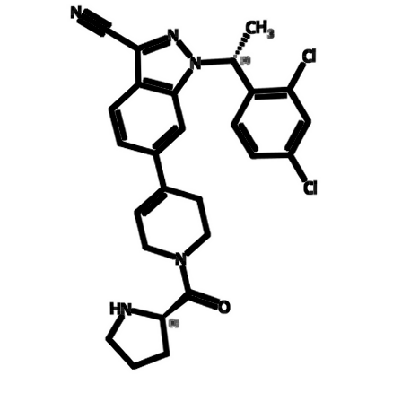 C[C@H](c1ccc(Cl)cc1Cl)n1nc(C#N)c2ccc(C3=CCN(C(=O)[C@H]4CCCN4)CC3)cc21